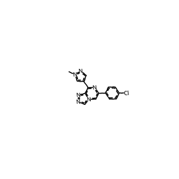 Cn1cc(-c2nc(-c3ccc(Cl)cc3)cn3cnnc23)cn1